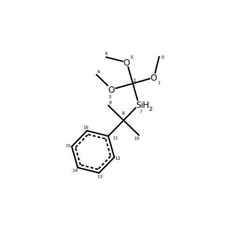 COC(OC)(OC)[SiH2]C(C)(C)c1ccccc1